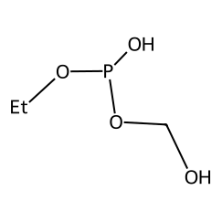 CCOP(O)OCO